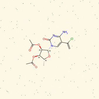 C=C(Cl)c1cn([C@@H]2O[C@H](C)[C@@H](OC(C)=O)[C@H]2OC(C)=O)c(=O)nc1N